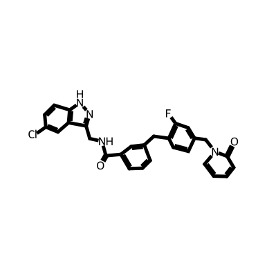 O=C(NCc1n[nH]c2ccc(Cl)cc12)c1cccc(Cc2ccc(Cn3ccccc3=O)cc2F)c1